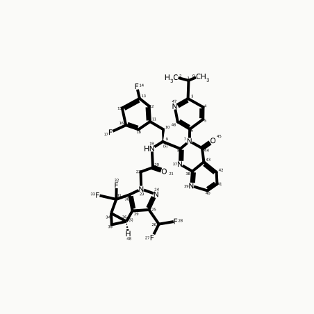 CC(C)c1ccc(-n2c([C@H](Cc3cc(F)cc(F)c3)NC(=O)Cn3nc(C(F)F)c4c3C(F)(F)C3C[C@H]43)nc3ncccc3c2=O)cn1